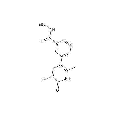 CCCCNC(=O)c1cncc(-c2cc(CC)c(=O)[nH]c2C)c1